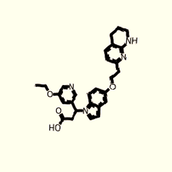 CCOc1cncc(C(CC(=O)O)n2ccc3cc(OCCc4ccc5c(n4)NCCC5)ccc32)c1